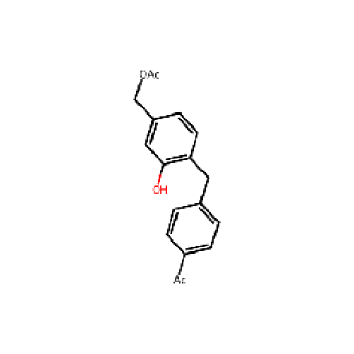 CC(=O)OCc1ccc(Cc2ccc(C(C)=O)cc2)c(O)c1